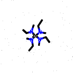 CC[N](C)[Zr]([N](C)CC)([N](C)CC)[N](C)CC